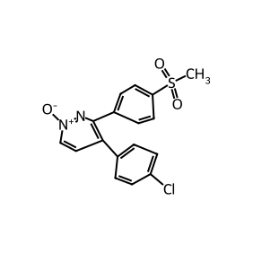 CS(=O)(=O)c1ccc(-c2n[n+]([O-])ccc2-c2ccc(Cl)cc2)cc1